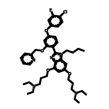 CCCCn1c(-c2ccc(Oc3ccc(Cl)c(F)c3)cc2OCc2ccccn2)nc2c(OCCCN(CC)CC)cc(OCCCN(CC)CC)cc21